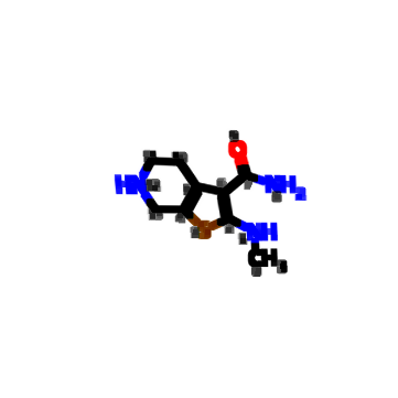 CNc1sc2c(c1C(N)=O)CCNC2